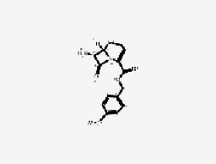 COc1ccc(COC(=O)C2=CCS[C@H]3[C@H](N)C(=O)N23)cc1